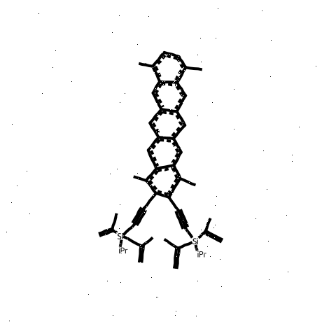 C=C(C)[Si](C#Cc1c(C#C[Si](C(=C)C)(C(=C)C)C(C)C)c(C)c2cc3cc4cc5c(C)ccc(C)c5cc4cc3cc2c1C)(C(=C)C)C(C)C